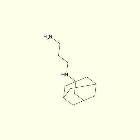 NCCCNC12CC3CC(CC(C3)C1)C2